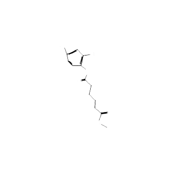 COC(=O)CCCCC(=O)Oc1ccc(Cl)cc1Cl